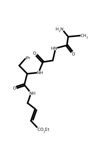 CCOC(=O)/C=C/CNC(=O)C(CC(C)C)NC(=O)CNC(=O)C(C)N